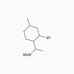 CNC(C)C1CCC(C)CC1C(C)C